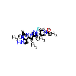 C=Nc1[nH]ccc1/C(NC1CC1)=C(\C)c1cnn([C@H]2CCN(C(C)=O)C[C@@H]2F)c1C